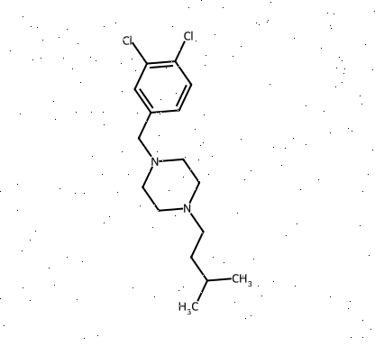 CC(C)CCN1CCN(Cc2ccc(Cl)c(Cl)c2)CC1